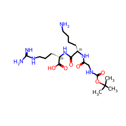 CC(C)(C)OC(=O)NCC(=O)N[C@@H](CCCCN)C(=O)N[C@@H](CCCNC(=N)N)C(=O)O